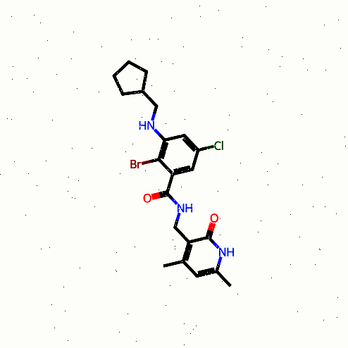 Cc1cc(C)c(CNC(=O)c2cc(Cl)cc(NCC3CCCC3)c2Br)c(=O)[nH]1